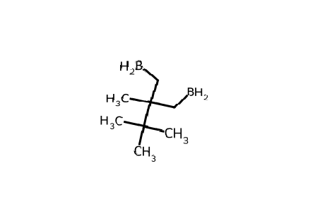 BCC(C)(CB)C(C)(C)C